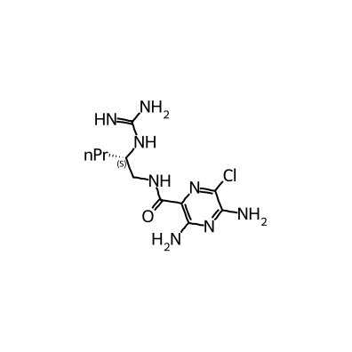 CCC[C@@H](CNC(=O)c1nc(Cl)c(N)nc1N)NC(=N)N